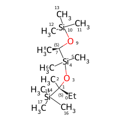 CC[C@@](C)(O[Si](C)(C)[C@@H](C)O[Si](C)(C)C)[Si](C)(C)C